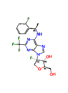 C[C@@H](Nc1nc(C(F)(F)F)nc2c1ncn2[C@]1(F)CO[C@H](CO)[C@H]1O)c1ccccc1F